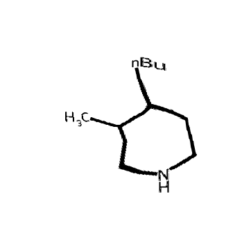 [CH2]CCCC1CCNCC1C